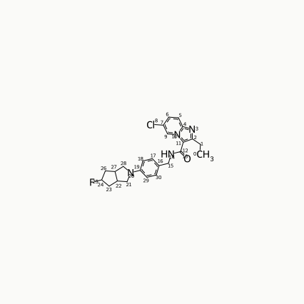 CCc1nc2ccc(Cl)cn2c1C(=O)NCc1ccc(N2CC3CC(F)CC3C2)cc1